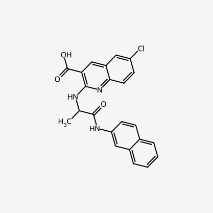 CC(Nc1nc2ccc(Cl)cc2cc1C(=O)O)C(=O)Nc1ccc2ccccc2c1